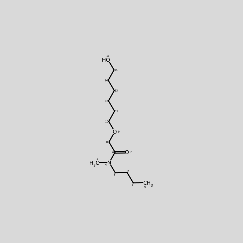 CCCCN(C)C(=O)COCCCCCCO